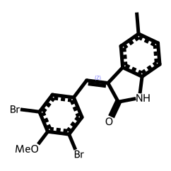 COc1c(Br)cc(/C=C2\C(=O)Nc3ccc(C)cc32)cc1Br